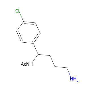 CC(=O)NC(CCCN)c1ccc(Cl)cc1